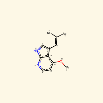 CC(=O)C(C#N)=Cc1c[nH]c2nccc(OC(C)C)c12